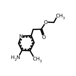 CCOC(=O)Cc1cc(C)c(N)cn1